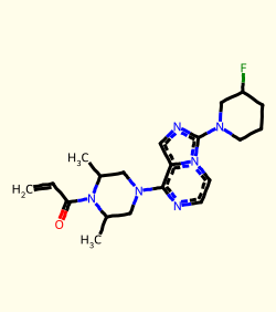 C=CC(=O)N1C(C)CN(c2nccn3c(N4CCCC(F)C4)ncc23)CC1C